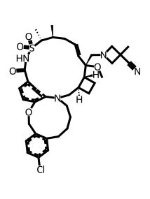 CO[C@@]1(CN2CC(C)(C#N)C2)/C=C/C[C@H](C)[C@@H](C)S(=O)(=O)NC(=O)c2ccc3c(c2)N(CCCCc2cc(Cl)ccc2CO3)C[C@@H]2CC[C@H]21